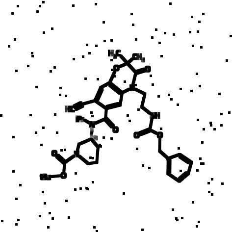 C#Cc1cc2c(cc1C(=O)N(C(C)C)[C@@H]1CCCN(C(=O)OC(C)(C)C)C1)N(CCNC(=O)OCc1ccccc1)C(=O)C(C)(C)O2